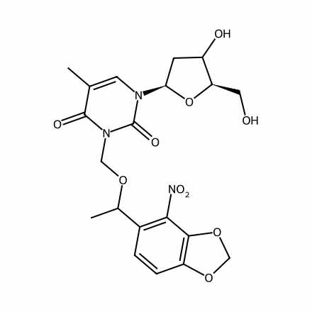 Cc1cn([C@H]2CC(O)[C@@H](CO)O2)c(=O)n(COC(C)c2ccc3c(c2[N+](=O)[O-])OCO3)c1=O